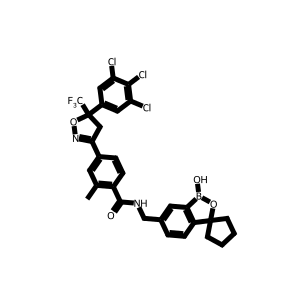 Cc1cc(C2=NOC(c3cc(Cl)c(Cl)c(Cl)c3)(C(F)(F)F)C2)ccc1C(=O)NCc1ccc2c(c1)B(O)OC21CCCC1